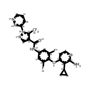 Nc1nccc(Oc2c(F)cc(NC(=O)c3cnn(-c4cccnn4)c3C(F)(F)F)cc2F)c1C1CC1